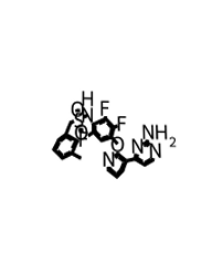 Cc1cccc(CS(=O)(=O)Nc2c(F)cc(Oc3ncccc3-c3ccnc(N)n3)c(F)c2F)c1